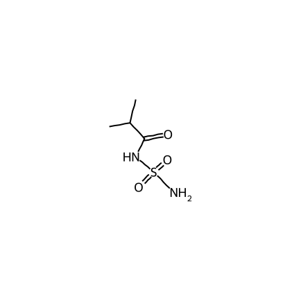 CC(C)C(=O)NS(N)(=O)=O